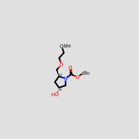 COCCOC[C@@H]1C[C@@H](O)CN1C(=O)OC(C)(C)C